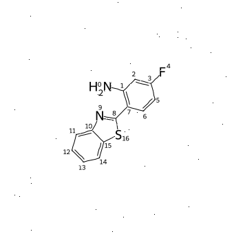 Nc1cc(F)ccc1-c1nc2ccccc2s1